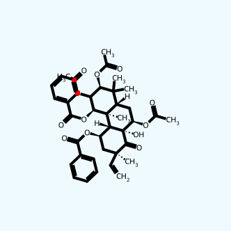 C=C[C@@]1(C)C[C@@H](OC(=O)c2ccccc2)[C@H]2[C@](O)(C1=O)[C@H](OC(C)=O)C[C@H]1C(C)(C)[C@H](OC(C)=O)C(OC(C)=O)[C@H](OC(=O)c3ccccc3)[C@@]12C